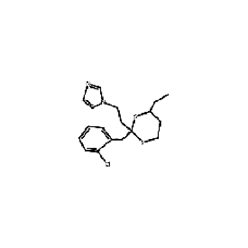 CCC1CCSC(CCn2ccnc2)(Cc2ccccc2Cl)S1